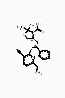 CCc1ccc(C#N)c(S[C@H](C[C@H]2COC(C)(C)N2C(=O)O)c2ccccc2)n1